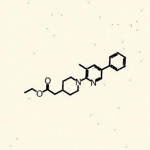 CCOC(=O)CC1CCN(c2ncc(-c3ccccc3)cc2C)CC1